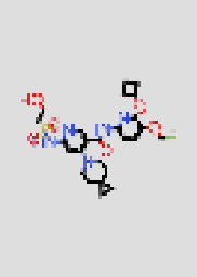 O=C(Nc1ccc(OCF)c(OC2CCC2)n1)c1cnc(NS(=O)(=O)CCO)cc1N1CCC2(CC1)CC2